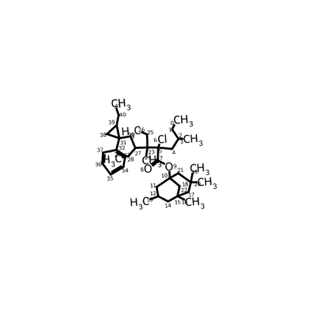 CCC(C)CC(Cl)(C(=O)OC12CC(C)CC(C)(CC(C)(C)C1)C2)C(C)(CC)C(CC)CC1(c2ccccc2)CC1CC